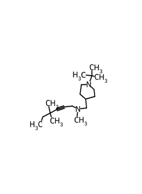 CCC(C)(C)C#CCN(C)CC1CCN(C(C)(C)C)CC1